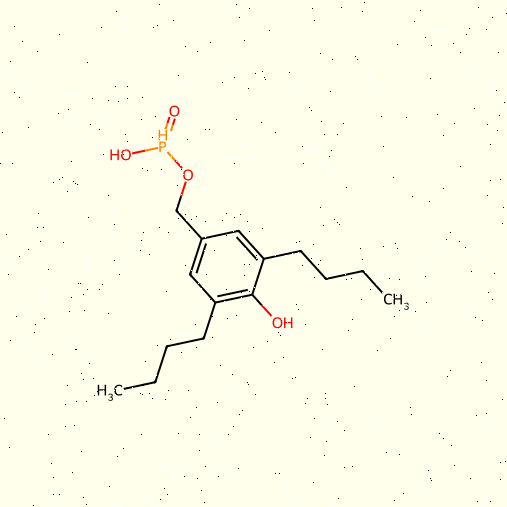 CCCCc1cc(CO[PH](=O)O)cc(CCCC)c1O